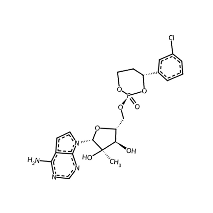 C[C@@]1(O)[C@H](O)[C@@H](CO[P@@]2(=O)OCC[C@H](c3cccc(Cl)c3)O2)O[C@H]1n1ccc2c(N)ncnc21